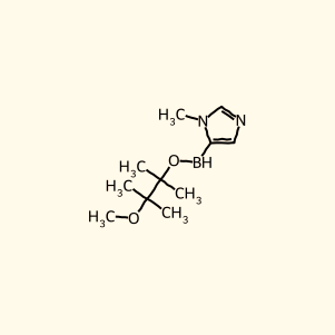 COC(C)(C)C(C)(C)OBc1cncn1C